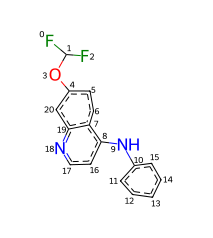 FC(F)Oc1ccc2c(Nc3ccccc3)ccnc2c1